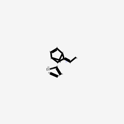 C/C=C1/CC2C=CC1C2.C=C.C=CCC